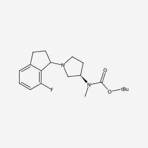 CN(C(=O)OC(C)(C)C)[C@@H]1CCN(C2CCc3cccc(F)c32)C1